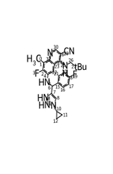 Cc1c(F)c(N[C@H](C2=CN(C3CC3)NN2)c2ccc(F)cc2)cc2c(NCC(C)(C)C)c(C#N)cnc12